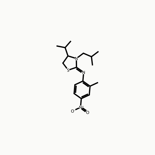 Cc1cc([N+](=O)[O-])ccc1N=C1SCC(C(C)C)N1CC(C)C